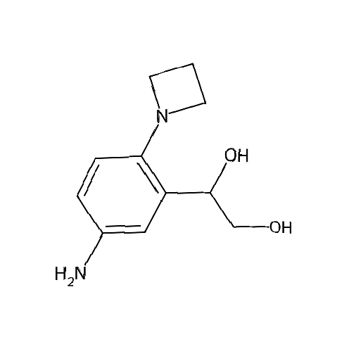 Nc1ccc(N2CCC2)c(C(O)CO)c1